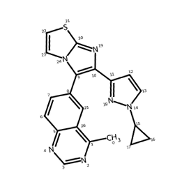 Cc1ncnc2ccc(-c3c(-c4ccn(C5CC5)n4)nc4sccn34)cc12